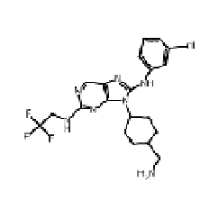 NCC1CCC(n2c(Nc3cccc(Cl)c3)nc3cnc(NCC(F)(F)F)nc32)CC1